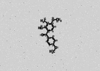 COc1ccc(C(=O)c2ccc(OC)c(C)c2O)cc1